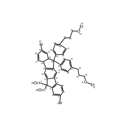 CCCCCCCCC1(CCCCCCCC)c2cc(Br)ccc2-c2cc3c(cc21)C1C=CC(Br)=CC1C3(c1ccc(CCCOCC)cc1)c1ccc(CCCOCC)cc1